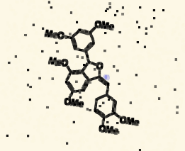 COC1=CCC(/C=C2/OC(c3cc(OC)cc(OC)c3)c3c(OC)cc(OC)cc32)C=C1OC